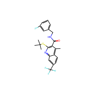 Cc1c(C(=O)NCc2cccc(F)c2)c(SC(C)(C)C)nc2cc(C(F)(F)F)ccc12